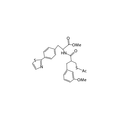 COC(=O)C(Cc1ccc(-c2nccs2)cc1)NC(=O)C(CSC(C)=O)Cc1cccc(OC)c1